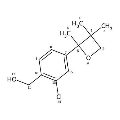 CC1(C)COC1(C)c1ccc(CO)c(Cl)c1